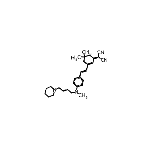 CN(CCCCN1CCCCC1)c1ccc(C=CC2=CC(=C(C#N)C#N)CC(C)(C)C2)cc1